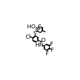 CCCC(C/C(C)=C\C(=O)O)Sc1cc(C(=O)Nc2cc(F)c(F)c(F)c2)ccc1Cl